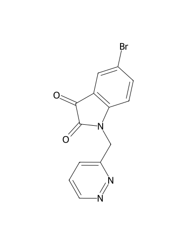 O=C1C(=O)N(Cc2cccnn2)c2ccc(Br)cc21